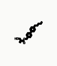 C=C(CO)C(=O)OCc1ccc(-c2ccc(CCCCC)cc2)cc1